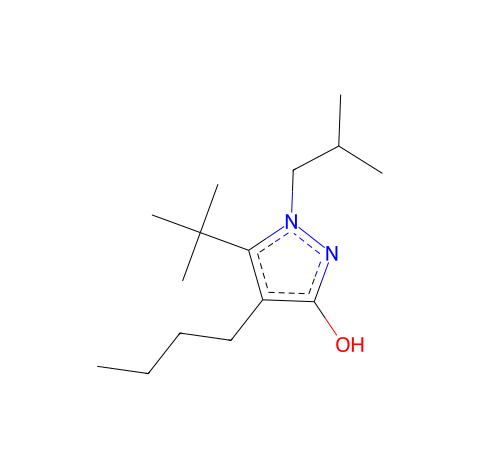 CCCCc1c(O)nn(CC(C)C)c1C(C)(C)C